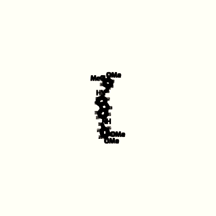 COc1ccc(CNc2ccc3c(c2)Cc2cc(NCc4ccc(OC)c(OC)c4)ccc2-3)cc1OC